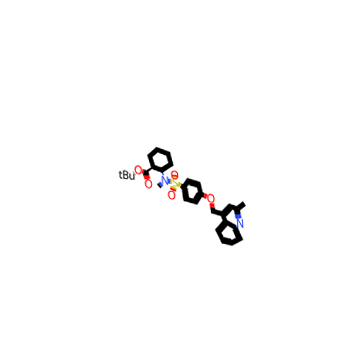 Cc1cc(COc2ccc(S(=O)(=O)N(C)[C@H]3CCCC[C@@H]3C(=O)OC(C)(C)C)cc2)c2ccccc2n1